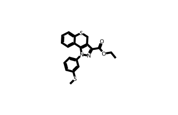 CCOC(=O)c1nn(-c2cccc(SC)c2)c2c1CSc1ccccc1-2